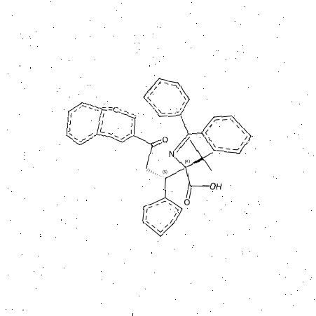 CC(C)(C)[C@@](N=C(c1ccccc1)c1ccccc1)(C(=O)O)[C@@H](CC(=O)c1ccc2ccccc2c1)c1ccccc1